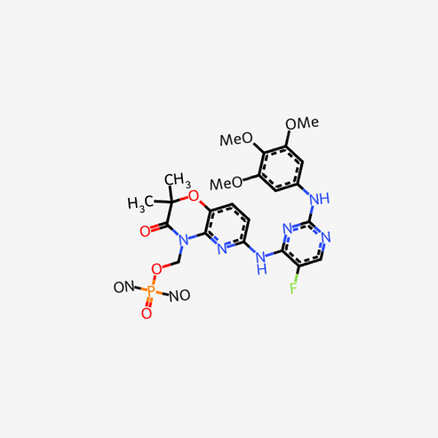 COc1cc(Nc2ncc(F)c(Nc3ccc4c(n3)N(COP(=O)(N=O)N=O)C(=O)C(C)(C)O4)n2)cc(OC)c1OC